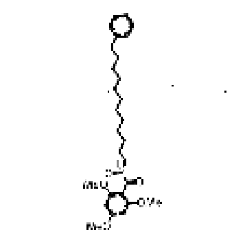 COc1cc(OC)c(C(=O)[PH](=O)CCCCCCCCCCCCc2ccccc2)c(OC)c1